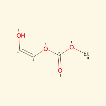 CCOC(=O)O/C=C\O